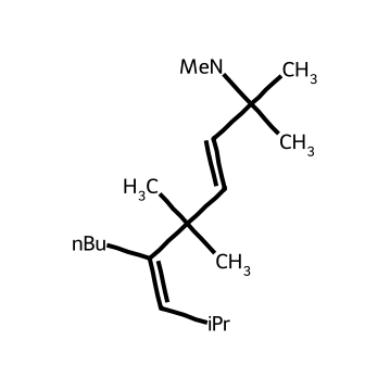 CCCCC(=CC(C)C)C(C)(C)C=CC(C)(C)NC